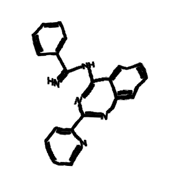 N=C(Nc1nc(-c2ccccn2)nc2ccccc12)c1ccccc1